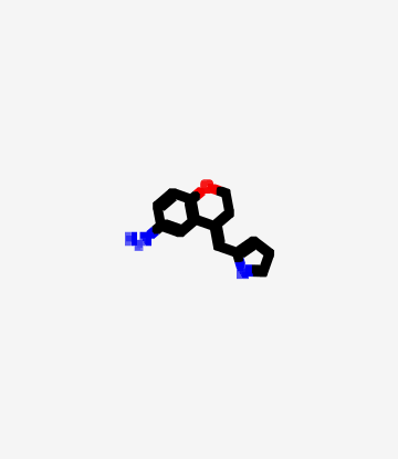 Nc1ccc2c(c1)/C(=C/C1=CCC=N1)CCO2